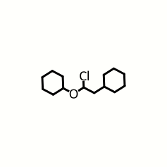 ClC(CC1CCCCC1)OC1CCCCC1